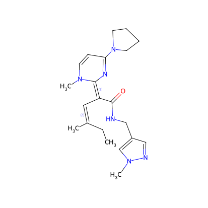 CC/C(C)=C\C(C(=O)NCc1cnn(C)c1)=C1\N=C(N2CCCC2)C=CN1C